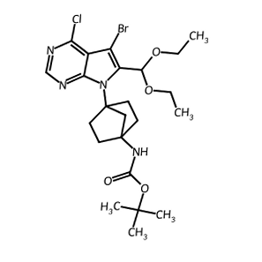 CCOC(OCC)c1c(Br)c2c(Cl)ncnc2n1C12CCC(NC(=O)OC(C)(C)C)(CC1)C2